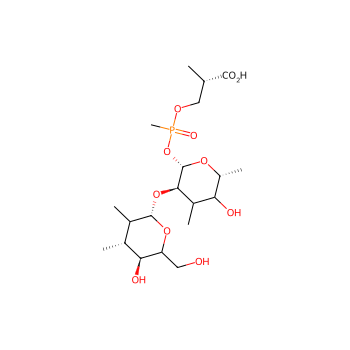 CC1[C@H](O[C@@H]2C(C)C(O)[C@@H](C)O[C@H]2OP(C)(=O)OC[C@H](C)C(=O)O)OC(CO)[C@@H](O)[C@@H]1C